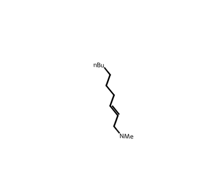 CCCCCCCC=CCNC